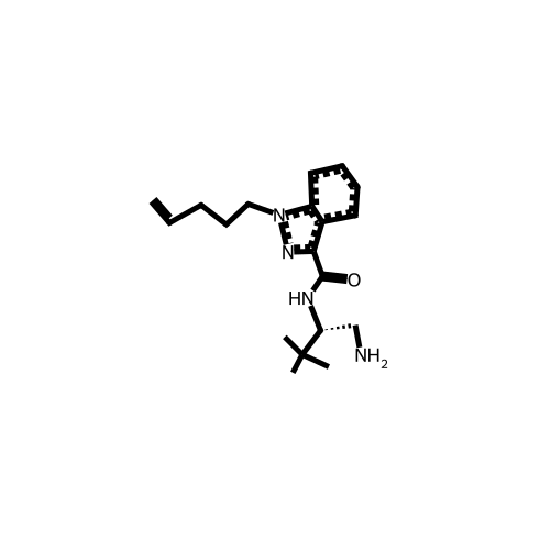 C=CCCCn1nc(C(=O)N[C@H](CN)C(C)(C)C)c2ccccc21